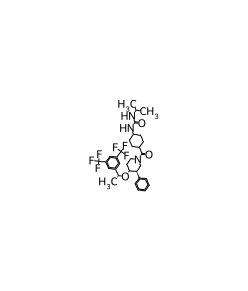 CC(C)NC(=O)NC1CCC(C(=O)N2CC[C@H](O[C@H](C)c3cc(C(F)(F)F)cc(C(F)(F)F)c3)[C@H](c3ccccc3)C2)CC1